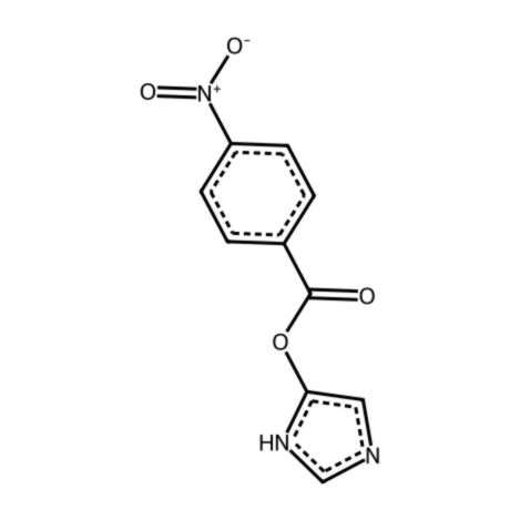 O=C(Oc1cnc[nH]1)c1ccc([N+](=O)[O-])cc1